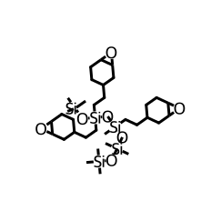 C[Si](C)(C)O[Si](C)(C)O[Si](C)(CCC1CCC2OC2C1)O[Si](CCC1CCC2OC2C1)(CCC1CCC2OC2C1)O[Si](C)(C)C